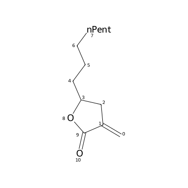 C=C1CC(CCCCCCCC)OC1=O